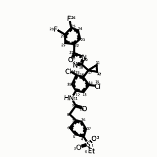 CCS(=O)(=O)c1ccc(CC(=O)Nc2cc(Cl)c(C3(c4noc(-c5ccc(F)c(F)c5)n4)CC3)c(Cl)c2)cc1